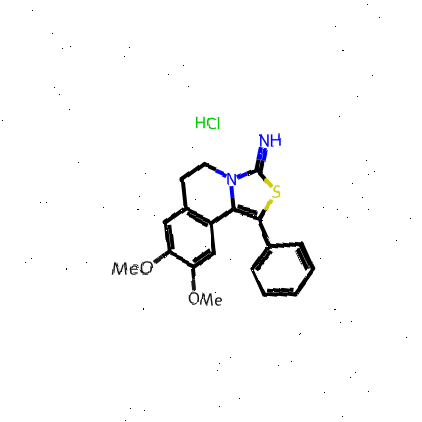 COc1cc2c(cc1OC)-c1c(-c3ccccc3)sc(=N)n1CC2.Cl